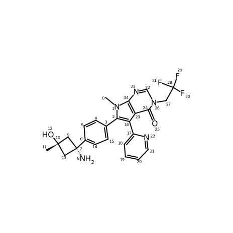 Cn1c(-c2ccc([C@]3(N)C[C@@](C)(O)C3)cc2)c(-c2ccccn2)c2c(=O)n(CC(F)(F)F)cnc21